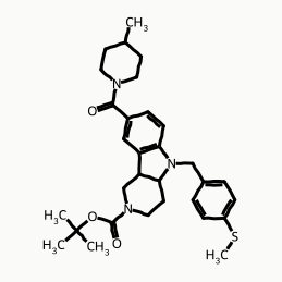 CSc1ccc(CN2c3ccc(C(=O)N4CCC(C)CC4)cc3C3CN(C(=O)OC(C)(C)C)CCC32)cc1